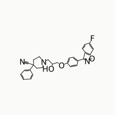 N#CC1(c2ccccc2)CCN(CC(O)COc2ccc(-c3noc4cc(F)ccc34)cc2)CC1